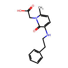 Cc1ccc(NCCc2ccccc2)c(=O)n1CC(=O)O